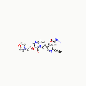 COc1ncc(-c2ccc3ncc(OCCN4CCOCC4)c(=O)n3c2)cc1CC(N)=O